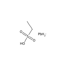 CCS(=O)(=O)O.[PbH2]